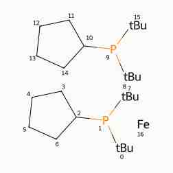 CC(C)(C)P(C1CCCC1)C(C)(C)C.CC(C)(C)P(C1CCCC1)C(C)(C)C.[Fe]